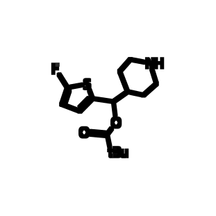 CC(C)(C)C(=O)OC(c1ccc(F)s1)C1CCNCC1